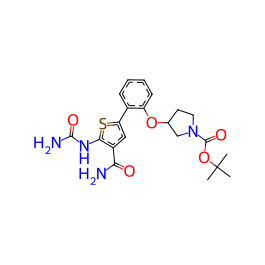 CC(C)(C)OC(=O)N1CCC(Oc2ccccc2-c2cc(C(N)=O)c(NC(N)=O)s2)C1